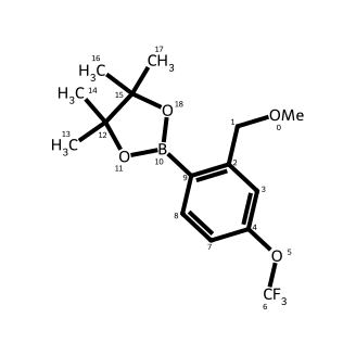 COCc1cc(OC(F)(F)F)ccc1B1OC(C)(C)C(C)(C)O1